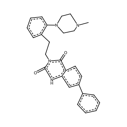 CN1CCN(c2ccccc2CCn2c(=O)[nH]c3cc(-c4ccccc4)ccc3c2=O)CC1